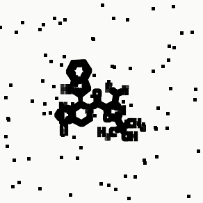 CC(C)(O)c1nc(C(F)F)c(C(=O)N2CCc3[nH]cnc3[C@H]2c2cc3ccccc3[nH]2)o1